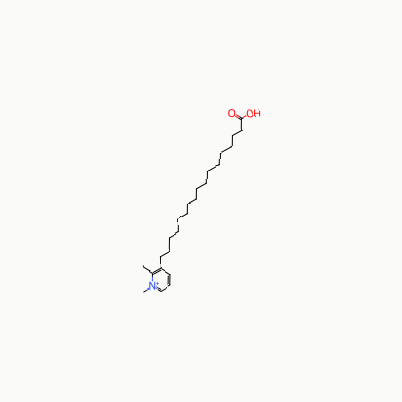 Cc1c(CCCCCCCCCCCCCCCCC(=O)O)ccc[n+]1C